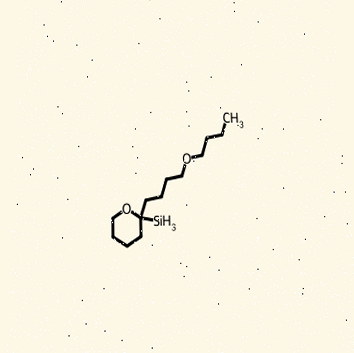 CCCCOCCCCC1([SiH3])CCCCO1